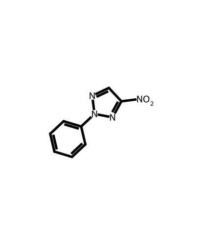 O=[N+]([O-])c1cnn(-c2ccccc2)n1